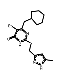 CCc1c(CC2CCCCC2)nc(SCc2cc(C)[nH]n2)[nH]c1=O